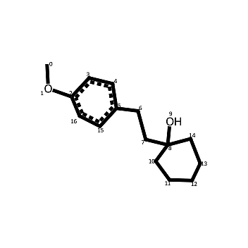 COc1ccc(CCC2(O)CCCCC2)cc1